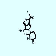 O=C1CCC[C@H](N2Cc3c(csc3C(F)F)C2O)C(=O)N1